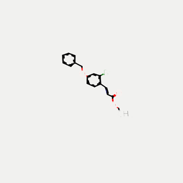 CCOC(=O)/C=C/c1ccc(OCc2ccccc2)cc1Br